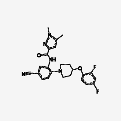 Cc1cc(C(=O)Nc2cc(C#N)ccc2N2CCC(Oc3ccc(F)cc3F)CC2)nn1C